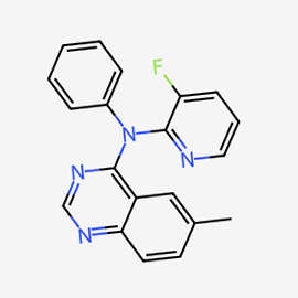 Cc1ccc2ncnc(N(c3ccccc3)c3ncccc3F)c2c1